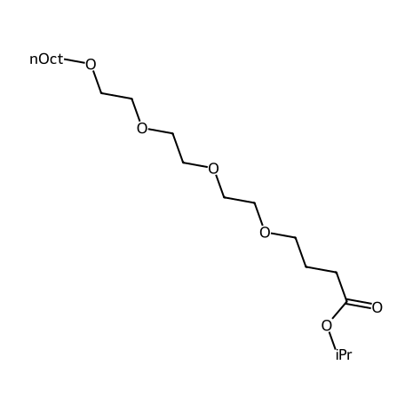 CCCCCCCCOCCOCCOCCOCCCC(=O)OC(C)C